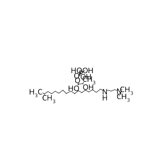 CC(C)CCCCCCCCCCCCCCCNCCCN(C)C.CC(O)C(=O)O.O=P(O)(O)O